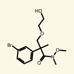 CON(C)C(=O)C(C)(COCCO)c1cccc(Br)c1